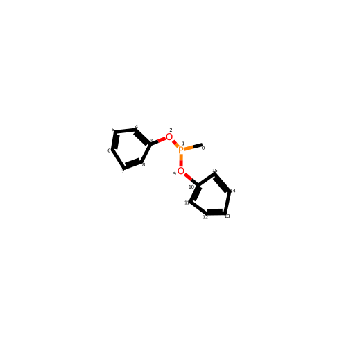 CP(Oc1ccccc1)Oc1ccccc1